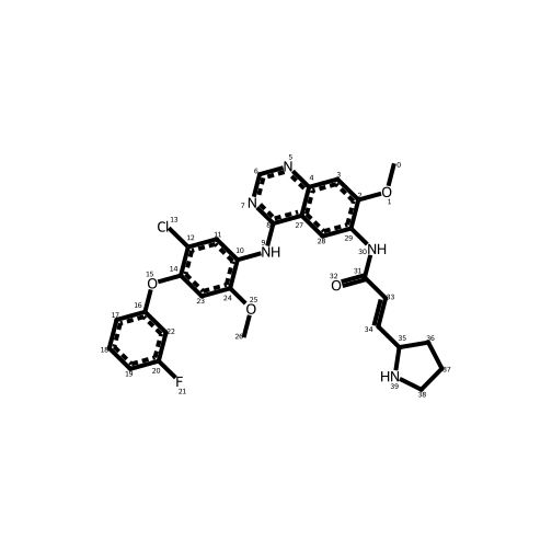 COc1cc2ncnc(Nc3cc(Cl)c(Oc4cccc(F)c4)cc3OC)c2cc1NC(=O)C=CC1CCCN1